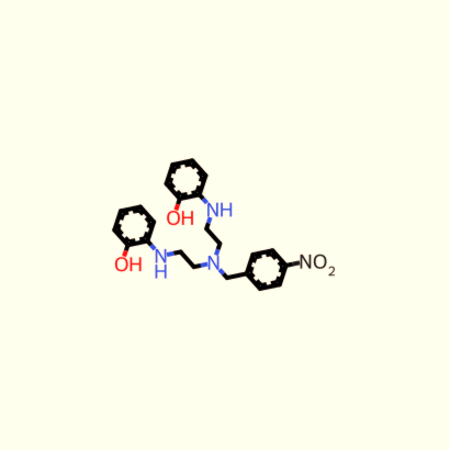 O=[N+]([O-])c1ccc(CN(CCNc2ccccc2O)CCNc2ccccc2O)cc1